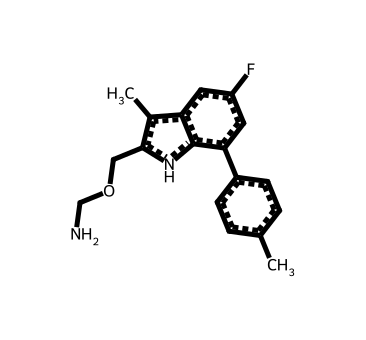 Cc1ccc(-c2cc(F)cc3c(C)c(COCN)[nH]c23)cc1